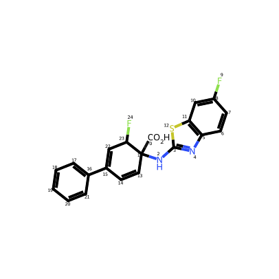 O=C(O)C1(Nc2nc3ccc(F)cc3s2)C=CC(c2ccccc2)=CC1F